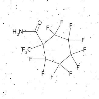 NC(=O)C1(C(F)(F)F)C(F)(F)C(F)(F)C(F)(F)C(F)(F)C1(F)F